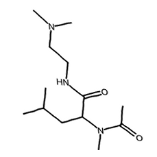 CC(=O)N(C)C(CC(C)C)C(=O)NCCN(C)C